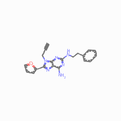 C#CCn1c(-c2ccco2)nc2c(N)nc(NCCc3ccccc3)nc21